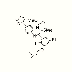 CCc1cc(OCCN(C)C)c(F)c(C(=N/c2ccc(-c3noc(C)n3)cc2)/C(=N/C(=O)OC)SC)c1